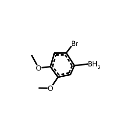 Bc1cc(OC)c(OC)cc1Br